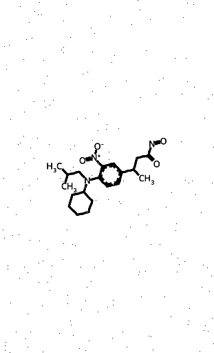 CC(C)CN(c1ccc(C(C)CC(=O)N=O)cc1[N+](=O)[O-])C1CCCCC1